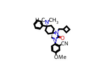 COc1ccc(N2C[C@]3(CC[C@@](c4ccccc4)(N(C)C)CC3)N(CC3CCC3)C2=O)c(C#N)c1